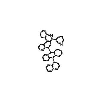 c1cncc(-c2nc3ccccc3c3c2cc(-c2c4ccccc4c(-c4cccc5ccccc45)c4ccccc24)c2ccccc23)c1